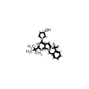 CC(C)(C)c1nc(N2CC[C@H](O)C2)c2ccn(Cc3ccccc3C(F)(F)F)c2n1